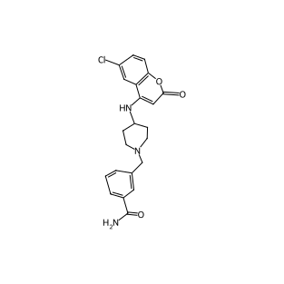 NC(=O)c1cccc(CN2CCC(Nc3cc(=O)oc4ccc(Cl)cc34)CC2)c1